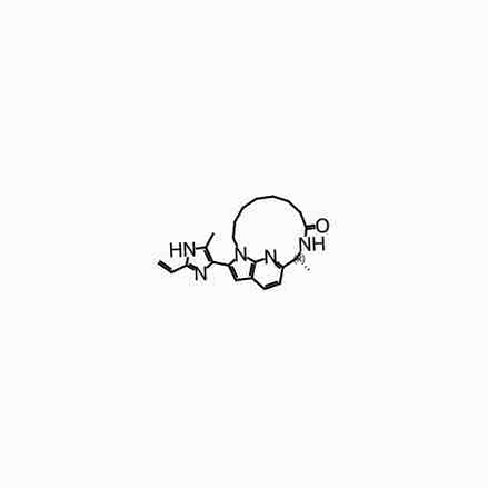 C=Cc1nc(-c2cc3ccc4nc3n2CCCCCCCC(=O)N[C@@H]4C)c(C)[nH]1